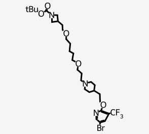 CC(C)(C)OC(=O)N1CC(CCOCCCCCOCCCN2CCC(CCOc3ncc(Br)cc3C(F)(F)F)CC2)C1